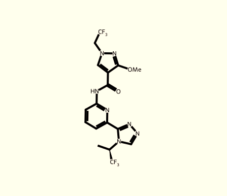 COc1nn(CC(F)(F)F)cc1C(=O)Nc1cccc(-c2nncn2[C@H](C)C(F)(F)F)n1